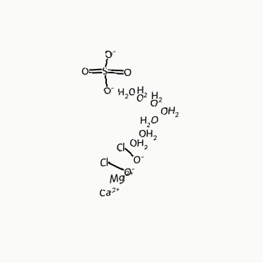 O.O.O.O.O.O.O.O=S(=O)([O-])[O-].[Ca+2].[Mg+2].[O-]Cl.[O-]Cl